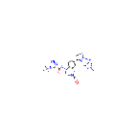 Cc1nn(C)cc1Nc1nccc(-c2ccc3c(c2)CN(C2COC2)CCC3NC(=O)/C(=C/NC(C)(C)C)N=N)n1